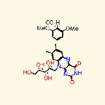 COc1cccc(OC)c1C(=O)O.Cc1cc2nc3c(=O)[nH]c(=O)nc-3n(C[C@H](O)[C@H](O)[C@H](O)CO)c2cc1C